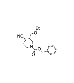 CCOCC1CN(C(=O)OCc2ccccc2)CCN1C#N